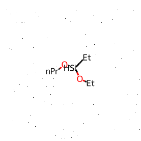 CCCO[SiH](CC)OCC